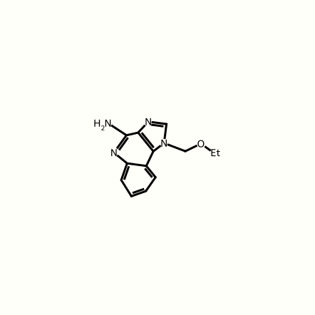 CCOCn1cnc2c(N)nc3ccccc3c21